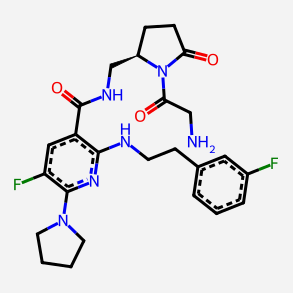 NCC(=O)N1C(=O)CC[C@@H]1CNC(=O)c1cc(F)c(N2CCCC2)nc1NCCc1cccc(F)c1